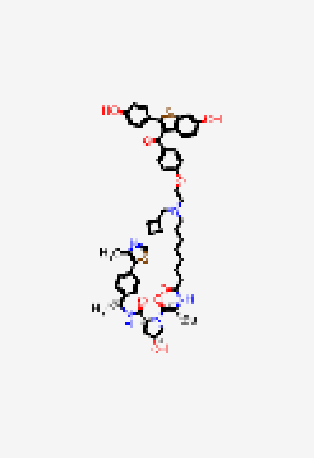 Cc1ncsc1-c1ccc([C@H](C)NC(=O)[C@@H]2C[C@@H](O)CN2C(=O)[C@@H](NC(=O)CCCCCCCN(CCOc2ccc(C(=O)c3c(-c4ccc(O)cc4)sc4cc(O)ccc34)cc2)CC2CCC2)C(C)(C)C)cc1